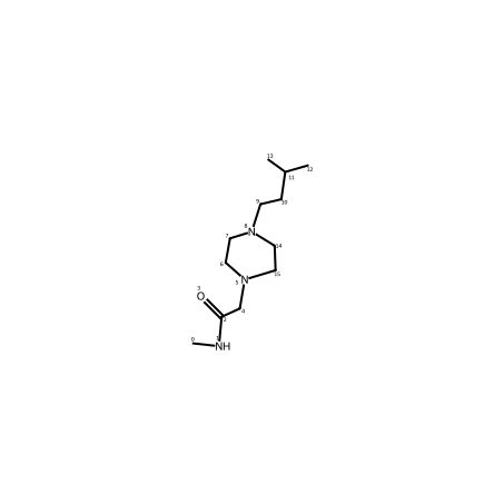 CNC(=O)CN1CCN(CCC(C)C)CC1